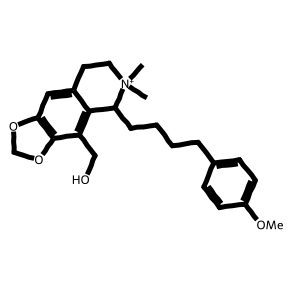 COc1ccc(CCCCC2c3c(cc4c(c3CO)OCO4)CC[N+]2(C)C)cc1